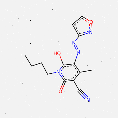 CCCCn1c(O)c(N=Nc2ccon2)c(C)c(C#N)c1=O